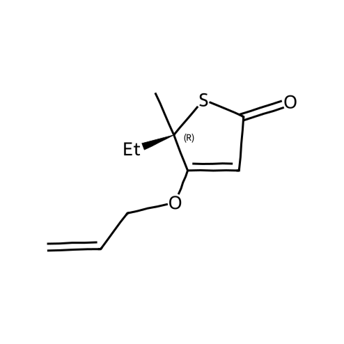 C=CCOC1=CC(=O)S[C@]1(C)CC